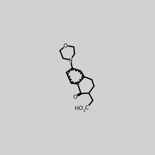 O=C(O)CC1CCc2cc(N3CCOCC3)ccc2C1=O